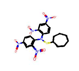 O=[N+]([O-])c1ccc(N(SC2CCCCCC2)c2ccc([N+](=O)[O-])cc2[N+](=O)[O-])c([N+](=O)[O-])c1